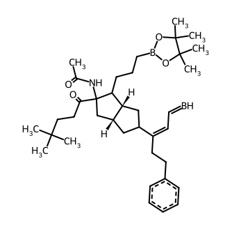 B=C/C=C(/CCc1ccccc1)C1C[C@@H]2CC(NC(C)=O)(C(=O)CCC(C)(C)C)C(CCCB3OC(C)(C)C(C)(C)O3)[C@@H]2C1